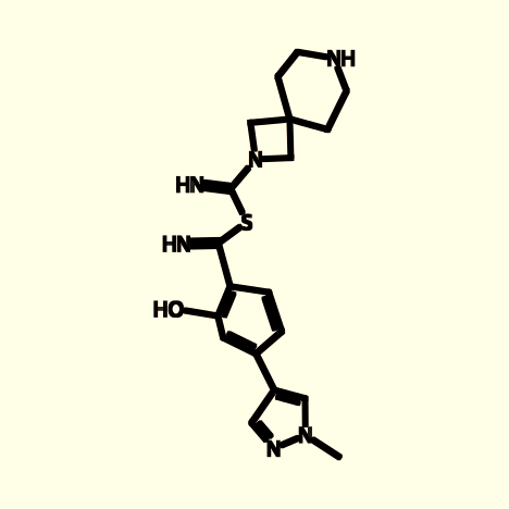 Cn1cc(-c2ccc(C(=N)SC(=N)N3CC4(CCNCC4)C3)c(O)c2)cn1